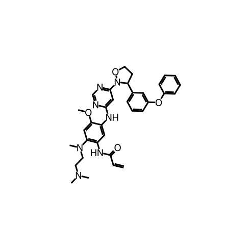 C=CC(=O)Nc1cc(Nc2cc(N3OCCC3c3cccc(Oc4ccccc4)c3)ncn2)c(OC)cc1N(C)CCN(C)C